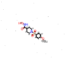 CCCCOc1ccc(S(=O)(=O)N2CCC(C(=O)NO)CC2)cc1